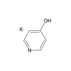 Oc1ccncc1.[K]